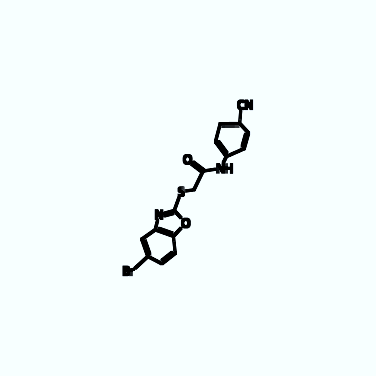 N#Cc1ccc(NC(=O)CSc2nc3cc(Br)ccc3o2)cc1